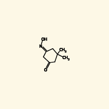 CC1(C)CC(=O)CC(=NO)C1